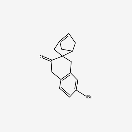 CCC(C)c1ccc2c(c1)CC1(CC3=CCC1C3)C(=O)C2